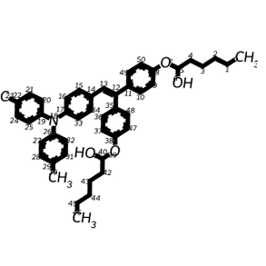 CCCCCC(O)Oc1ccc(C(=Cc2ccc(N(c3ccc(C)cc3)c3ccc(C)cc3)cc2)c2ccc(OC(O)CCCCC)cc2)cc1